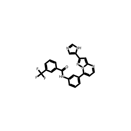 O=C(Nc1cccc(-c2ccnc3cc(-c4cnc[nH]4)nn23)c1)c1cccc(C(F)(F)F)c1